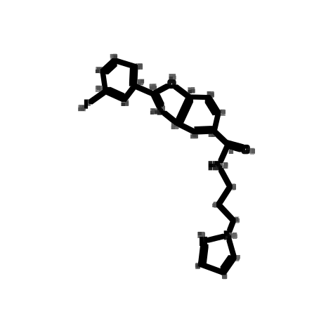 O=C(NCCCn1cccn1)c1ccc2oc(-c3cccc(F)c3)nc2c1